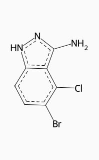 Nc1n[nH]c2ccc(Br)c(Cl)c12